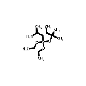 CCO[Si](CC(C)N)(OCC)OC(C)(N)CC